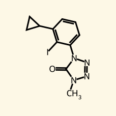 Cn1nnn(-c2cccc(C3CC3)c2I)c1=O